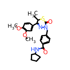 CCC1SC(=O)N(Cc2ccc(C(=O)NC3CCCC3)cc2)N=C1c1ccc(OC)c(OC)c1